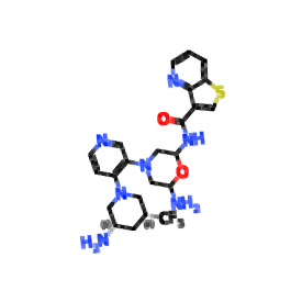 NC1CN(c2cnccc2N2C[C@@H](N)C[C@@H](C(F)(F)F)C2)CC(NC(=O)c2csc3cccnc23)O1